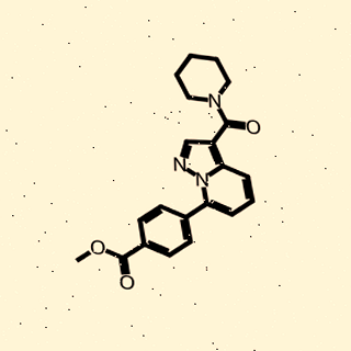 COC(=O)c1ccc(-c2cccc3c(C(=O)N4CCCCC4)cnn23)cc1